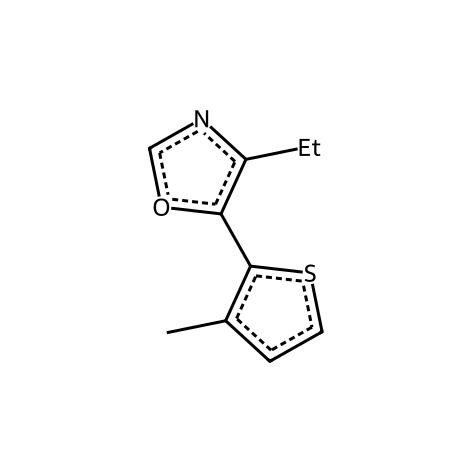 CCc1ncoc1-c1sccc1C